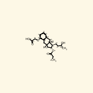 CCC(=O)O[C@@H]1C[C@@H]2Cc3c(cccc3OCC(=O)O)C[C@@H]2[C@H]1CC[C@H](C)O